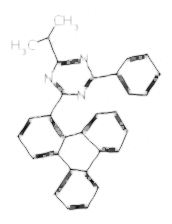 CC(C)c1nc(-c2ccccc2)nc(-c2cccc3c4ccccc4c4ccccc4c23)n1